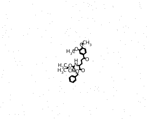 COc1ccc(C(=O)CCC(NC(=O)OC(C)(C)C)C(=O)OCc2ccccc2)cc1OC